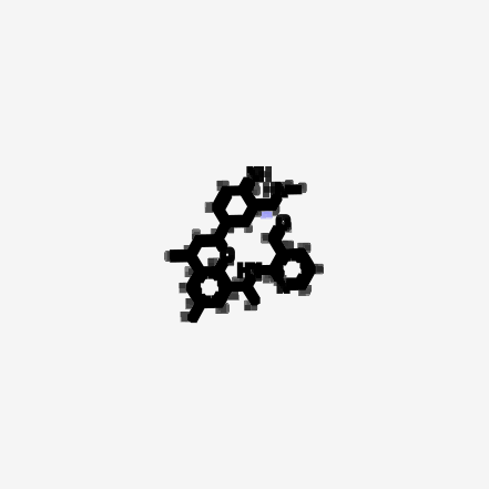 C=C1C=C(C2=C/C(=C/NC)C(=N)C=C2)Oc2c1cc(C)cc2C(C)Nc1ncccc1C=O